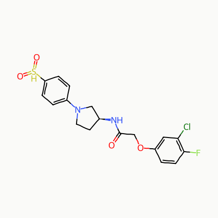 O=C(COc1ccc(F)c(Cl)c1)N[C@H]1CCN(c2ccc([SH](=O)=O)cc2)C1